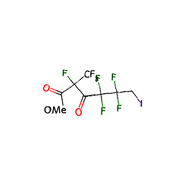 COC(=O)C(F)(C(=O)C(F)(F)C(F)(F)CI)C(F)(F)F